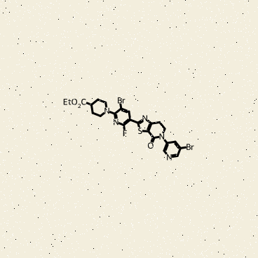 CCOC(=O)C1CCN(c2nc(F)c(-c3nc4c(s3)C(=O)N(c3cncc(Br)c3)CC4)cc2Br)CC1